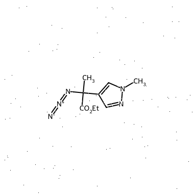 CCOC(=O)C(C)(N=[N+]=[N-])c1cnn(C)c1